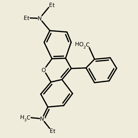 CCN(CC)c1ccc2c(-c3ccccc3C(=O)O)c3cc/c(=[N+](/C)CC)cc-3oc2c1